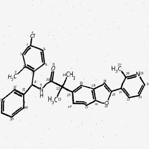 Cc1cc(Cl)ccc1C(NC(=O)C(C)(C)c1ccc2oc(-c3cccnc3C)cc2c1)c1ccccc1